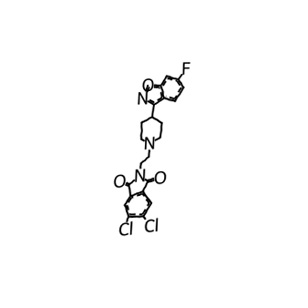 O=C1c2cc(Cl)c(Cl)cc2C(=O)N1CCN1CCC(c2noc3cc(F)ccc23)CC1